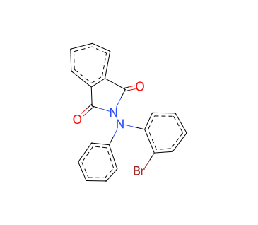 O=C1c2ccccc2C(=O)N1N(c1ccccc1)c1ccccc1Br